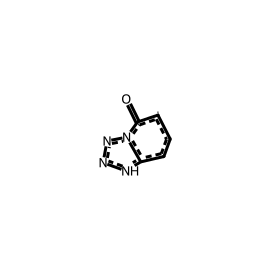 O=c1[c]ccc2[nH]nnn12